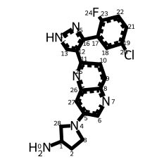 NC1CCN(c2cnc3ccc(-c4c[nH]nc4-c4cc(Cl)ccc4F)nc3c2)C1